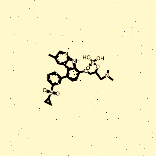 Cc1cnc2[nH]c3c(OCC(CN(C)C)OP(=O)(O)O)ccc(-c4cccc(S(=O)(=O)C5CC5)c4)c3c2c1